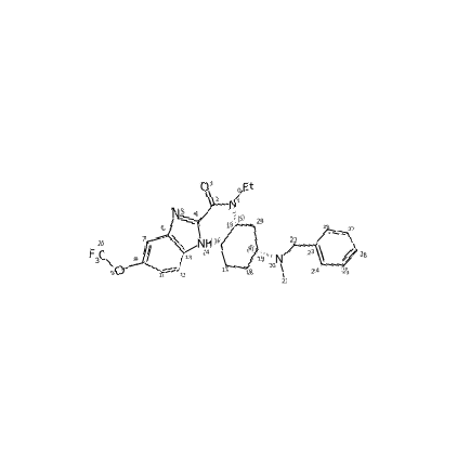 CCN(C(=O)c1nc2cc(OC(F)(F)F)ccc2[nH]1)[C@H]1CCC[C@@H](N(C)Cc2ccccc2)C1